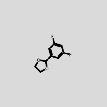 Fc1cc(F)cc(C2OCCO2)c1